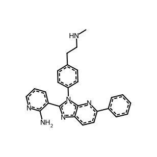 CNCCc1ccc(-n2c(-c3cccnc3N)nc3ccc(-c4ccccc4)nc32)cc1